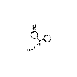 Cl.Cl.NCCNC(c1ccccc1)c1ccccc1